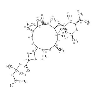 CCN(C)CC(C)(C)CC(=O)N1CC(C2COC(=O)C(C)(C)C(=O)[C@H](C)[C@@H](O[C@@H]3O[C@H](C)C[C@H](N(C)C)[C@H]3O)[C@](C)(OC)C[C@@H](C)CN2C)C1